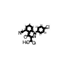 N#Cc1cccc2c1c(=O)c(C(=O)O)nn2-c1ccc(Cl)cc1